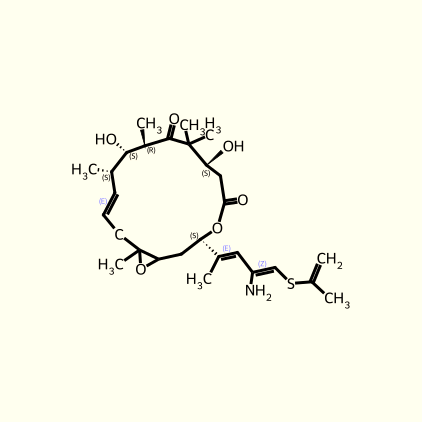 C=C(C)S/C=C(N)/C=C(\C)[C@@H]1CC2OC2(C)C/C=C/[C@H](C)[C@H](O)[C@@H](C)C(=O)C(C)(C)[C@@H](O)CC(=O)O1